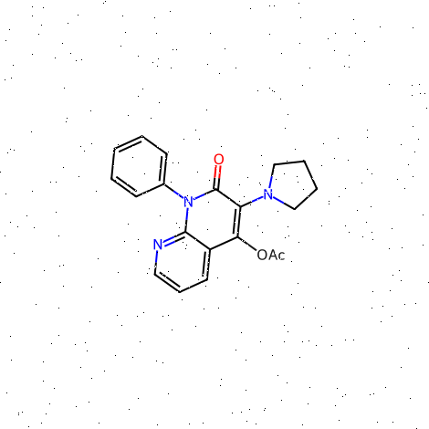 CC(=O)Oc1c(N2CCCC2)c(=O)n(-c2ccccc2)c2ncccc12